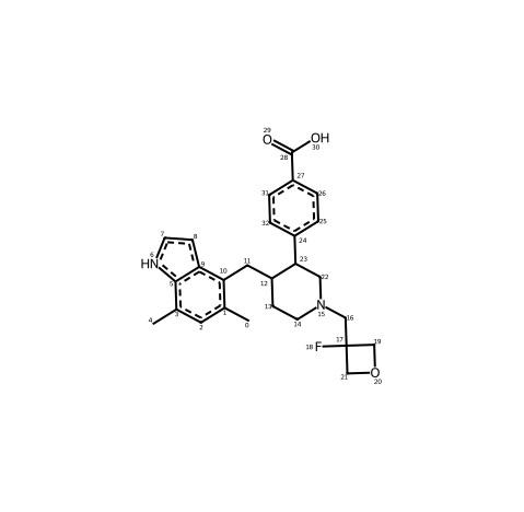 Cc1cc(C)c2[nH]ccc2c1CC1CCN(CC2(F)COC2)CC1c1ccc(C(=O)O)cc1